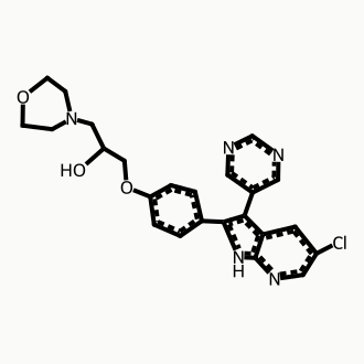 OC(COc1ccc(-c2[nH]c3ncc(Cl)cc3c2-c2cncnc2)cc1)CN1CCOCC1